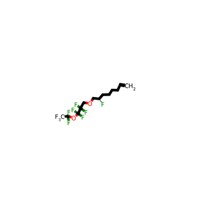 C=CCCCC[C@H](F)COCC(F)(F)C(F)(F)OC(F)(F)C(F)(F)F